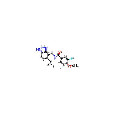 CCc1ccc2[nH]nnc2c1CNC(=O)c1cc(F)c(OC)c(F)c1